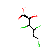 OC(O)=C(O)C(Cl)C(Cl)CCCl